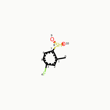 Cc1cc(F)ccc1[SH](=O)=O